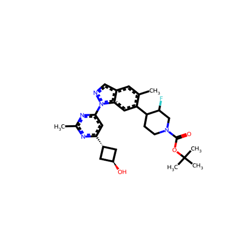 Cc1nc(-n2ncc3cc(C)c(C4CCN(C(=O)OC(C)(C)C)CC4F)cc32)cc([C@H]2C[C@H](O)C2)n1